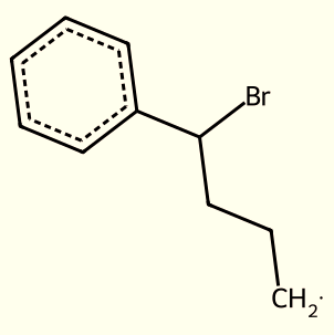 [CH2]CCC(Br)c1ccccc1